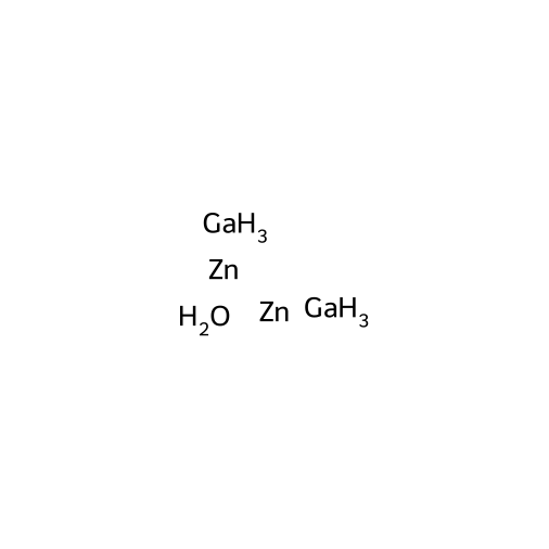 O.[GaH3].[GaH3].[Zn].[Zn]